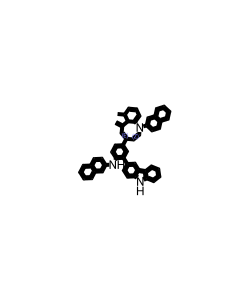 C=C1/C=C(c2ccc(Nc3ccc4ccccc4c3)c(-c3ccc4[nH]c5ccccc5c4c3)c2)\C=C/N(c2ccc3ccccc3c2)C2=CC=CC(C)C12